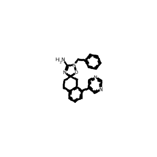 NC1=NC2(CCc3cccc(-c4cncnc4)c3C2)ON1Cc1ccccc1